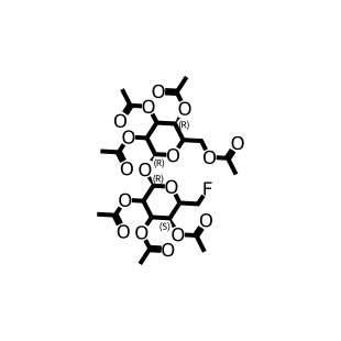 CC(=O)OCC1O[C@H](O[C@H]2OC(CF)[C@@H](OC(C)=O)C(OC(C)=O)C2OC(C)=O)C(OC(C)=O)C(OC(C)=O)[C@@H]1OC(C)=O